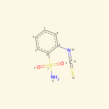 NS(=O)(=O)c1ccccc1N=C=S